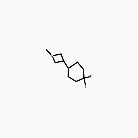 CN1CC(C2CCC(F)(F)CC2)C1